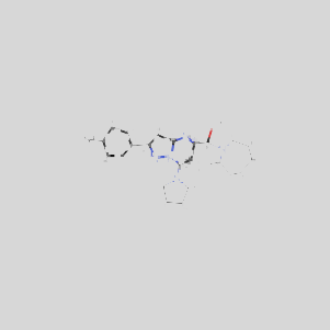 CC1CCCCCN1C(=O)c1cc(N2CCCC2)n2nc(-c3ccc(N=O)cc3)cc2n1